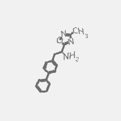 Cc1noc([C@H](N)Cc2ccc(-c3ccccc3)cc2)n1